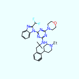 CCN1CCC(c2c#cccc2CC(C)(C)Nc2nc(N3CCOCC3)nc(-n3c(C(F)F)nc4ccccc43)n2)CC1